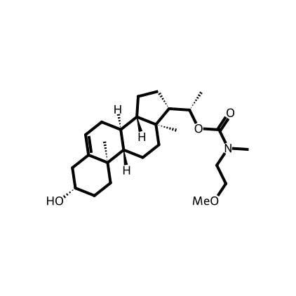 COCCN(C)C(=O)O[C@@H](C)[C@H]1CC[C@H]2[C@@H]3CC=C4C[C@@H](O)CC[C@]4(C)[C@H]3CC[C@]12C